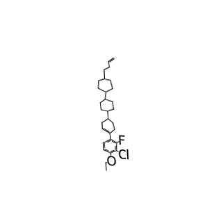 C=CCCC1CCC(C2CCC(C3CC=C(c4ccc(OCC)c(Cl)c4F)CC3)CC2)CC1